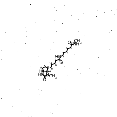 CNC(=O)CCCCCNC(=O)CCCC[C@@H]1SC[C@@H]2NC(=O)N(C)[C@@H]21